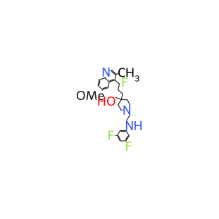 COc1ccc2ncc(C)c([C@H](F)CCC3(CO)CCN(CCNc4cc(F)cc(F)c4)CC3)c2c1